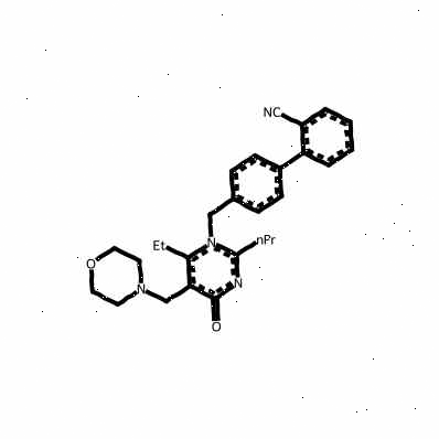 CCCc1nc(=O)c(CN2CCOCC2)c(CC)n1Cc1ccc(-c2ccccc2C#N)cc1